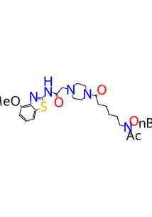 CCCCON(CCCCCC(=O)N1CCN(CC(=O)Nc2nc3c(OC)cccc3s2)CC1)C(C)=O